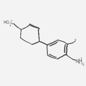 Nc1ccc(C2CCC(C(=O)O)CC2)cc1F